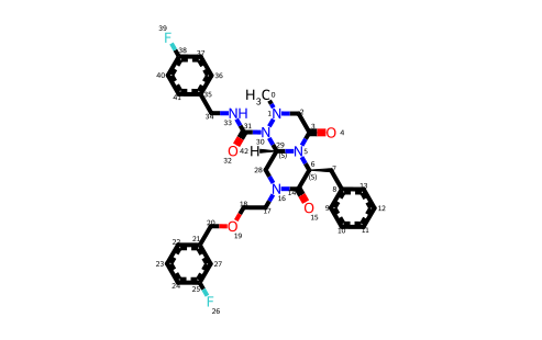 CN1CC(=O)N2[C@@H](Cc3ccccc3)C(=O)N(CCOCc3cccc(F)c3)C[C@@H]2N1C(=O)NCc1ccc(F)cc1